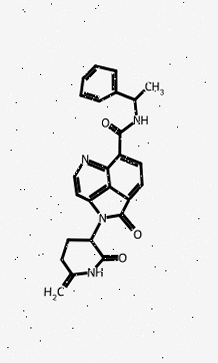 C=C1CCC(N2C(=O)c3ccc(C(=O)NC(C)c4ccccc4)c4nccc2c34)C(=O)N1